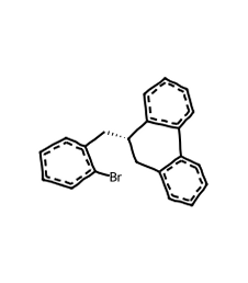 Brc1ccccc1C[C@H]1Cc2ccccc2-c2ccccc21